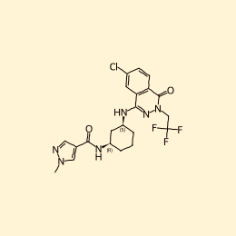 Cn1cc(C(=O)N[C@@H]2CCC[C@H](Nc3nn(CC(F)(F)F)c(=O)c4ccc(Cl)cc34)C2)cn1